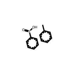 Cc1ccccc1.O=S(O)c1ccccc1